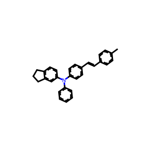 Cc1ccc(/C=C/c2ccc(N(c3ccccc3)c3ccc4c(c3)CCC4)cc2)cc1